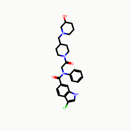 O=C(CN(C(=O)c1ccc2c(Cl)c[nH]c2c1)c1ccccc1)N1CCC(CN2CCCC(O)C2)CC1